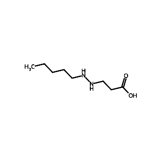 CCCCCNNCCC(=O)O